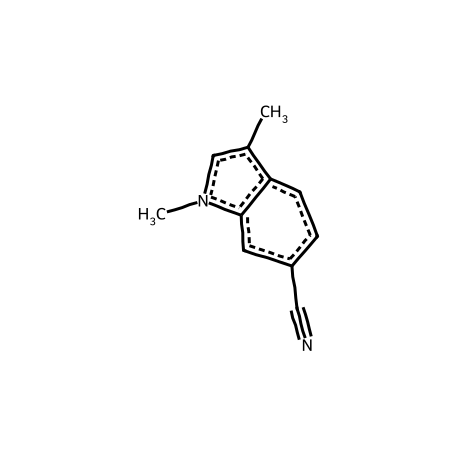 Cc1cn(C)c2cc(C#N)ccc12